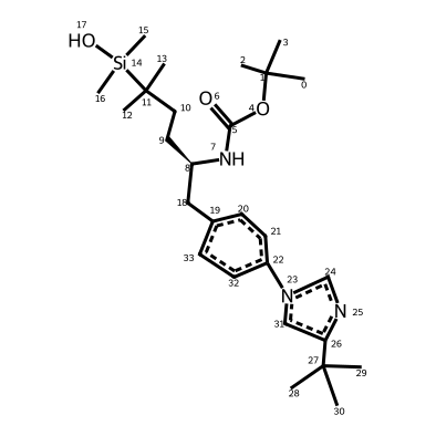 CC(C)(C)OC(=O)N[C@H](CCC(C)(C)[Si](C)(C)O)Cc1ccc(-n2cnc(C(C)(C)C)c2)cc1